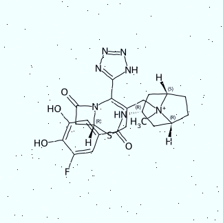 C[N+]1(CC2=C(c3nnn[nH]3)N3C(=O)C[C@H]3SC2)[C@@H]2CC[C@H]1C[C@@H](NC(=O)c1cc(O)c(O)c(F)c1)C2